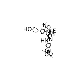 CCOP(=O)(Cc1ccc(Nc2ncc(C(F)(F)F)c(Nc3ccc([C@H]4CC[C@H](O)CC4)cc3C(=O)N(C)C)n2)cc1)OCC